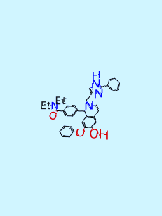 CCN(CC)C(=O)c1ccc(C2c3cc(Oc4ccccc4)c(O)cc3CCN2Cc2c[nH]c(-c3ccccc3)n2)cc1